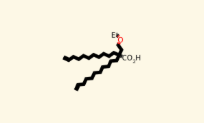 C=CCCCCCCCCCC(CCCCCCCCCC=C)(CCOCC)C(=O)O